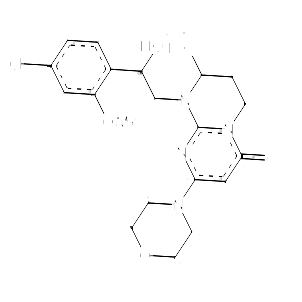 COc1cc(Cl)ccc1C(O)CN1c2nc(N3CCOCC3)cc(=O)n2CCC1C(F)(F)F